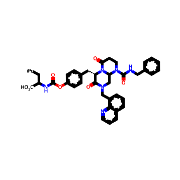 CC(C)CC(NC(=O)Oc1ccc(C[C@H]2C(=O)N(Cc3cccc4cccnc34)CC3N(C(=O)NCc4ccccc4)CCC(=O)N32)cc1)C(=O)O